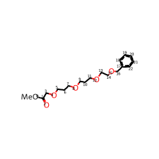 COC(=O)COCCCOCCCOCCOCc1ccccc1